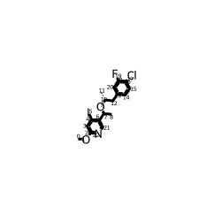 COc1cc(I)c(C(C)O[C@H](C)Cc2ccc(Cl)c(F)c2)cn1